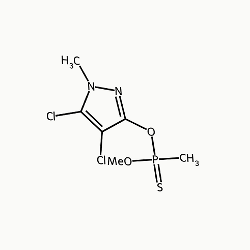 COP(C)(=S)Oc1nn(C)c(Cl)c1Cl